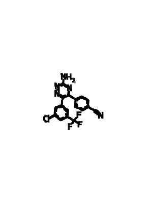 N#Cc1ccc(-c2nc(N)nnc2-c2cc(Cl)cc(C(F)(F)F)c2)cc1